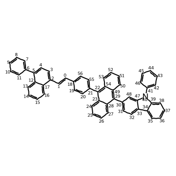 C(=C\c1ccc(-c2ccccc2)c2ccccc12)/c1ccc(-c2c3ccccc3c(-c3ccc4c5ccccc5n(-c5ccccc5)c4c3)c3ccccc23)cc1